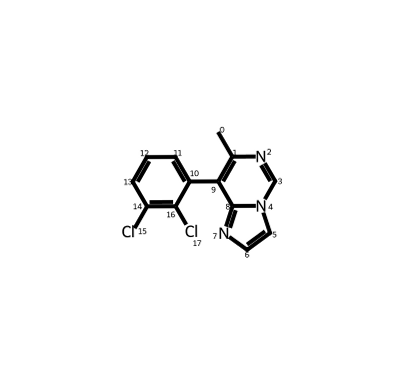 Cc1ncn2ccnc2c1-c1cccc(Cl)c1Cl